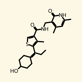 CCC(=C1CCC(O)CC1)c1scc(C(=O)NCc2c(C)cc(C)[nH]c2=O)c1C